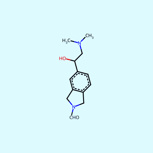 CN(C)CC(O)c1ccc2c(c1)CN(C=O)C2